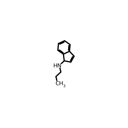 CCCNC1C=Cc2ccccc21